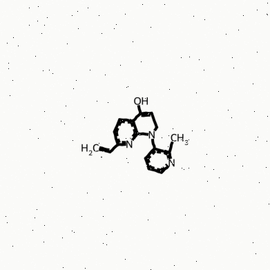 C=Cc1ccc2c(n1)N(c1cccnc1C)CC=C2O